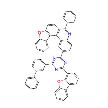 C1=CCC(c2nc3ccc(-c4nc(-c5cccc(-c6ccccc6)c5)nc(-c5cccc6c5oc5ccccc56)n4)cc3c3c2ccc2oc4ccccc4c23)C=C1